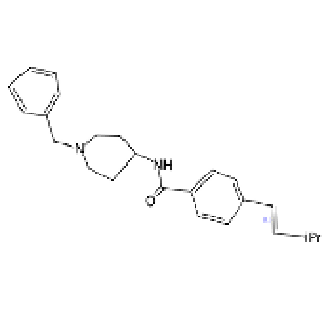 CC(C)/C=C/c1ccc(C(=O)NC2CCN(Cc3ccccc3)CC2)cc1